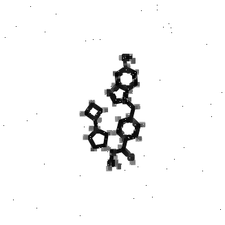 Cc1ccc2c(c1)ncn2Cc1ccc(C(=O)N(C)[C@@H]2CCN(C3CCC3)C2)cc1